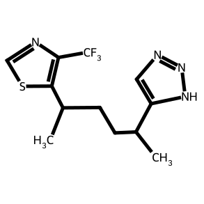 CC(CCC(C)c1scnc1C(F)(F)F)c1cnn[nH]1